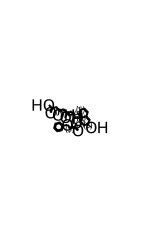 C[C@H](Oc1ccccc1)C(=O)O[C@H]1C[C@H](O)C=C2C=C[C@@H](C)[C@H](CC[C@@H](O)C[C@@H](O)CC(=O)O)[C@H]21